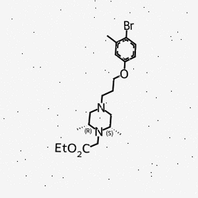 CCOC(=O)CN1[C@H](C)CN(CCCOc2ccc(Br)c(C)c2)C[C@@H]1C